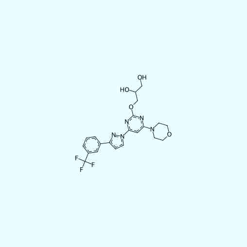 OCC(O)COc1nc(N2CCOCC2)cc(-n2ccc(-c3cccc(C(F)(F)F)c3)n2)n1